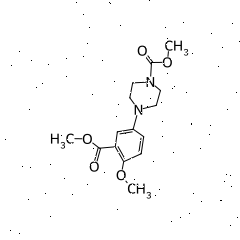 COC(=O)c1cc(N2CCN(C(=O)OC)CC2)ccc1OC